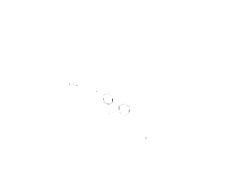 CCCc1cc(C(OCOC)(C(F)(F)F)C(F)(F)F)ccc1-c1ccc(OCCCBr)cc1